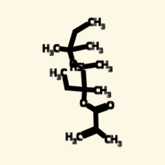 C=C(C)C(=O)OC(C)(CC)[SiH](C)OC(C)(C)CC